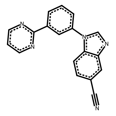 N#Cc1ccc2c(c1)ncn2-c1cccc(-c2ncccn2)c1